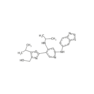 CC(C)Nc1cc(Nc2ccc3ncsc3c2)ncc1-c1nc(CO)c(C(C)C)o1